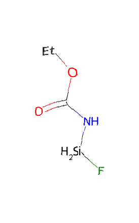 CCOC(=O)N[SiH2]F